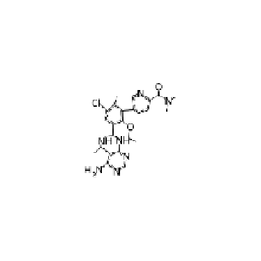 CCOc1c(C(C)Nc2ncnc(N)c2C(C)=N)cc(Cl)c(C)c1-c1ccc(C(=O)N(C)C)nc1